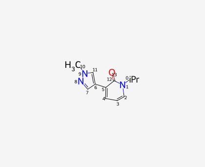 CC(C)n1cccc(-c2cnn(C)c2)c1=O